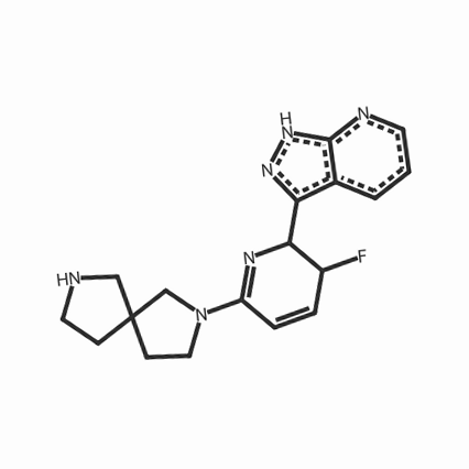 FC1C=CC(N2CCC3(CCNC3)C2)=NC1c1n[nH]c2ncccc12